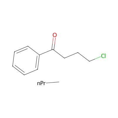 CCCC.O=C(CCCCl)c1ccccc1